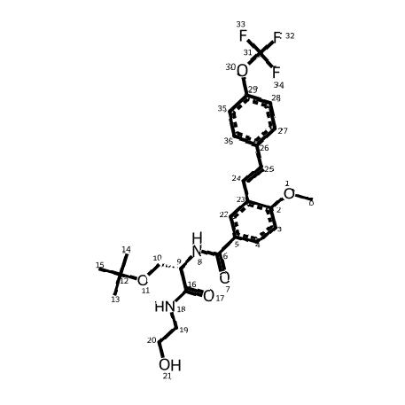 COc1ccc(C(=O)N[C@@H](COC(C)(C)C)C(=O)NCCO)cc1C=Cc1ccc(OC(F)(F)F)cc1